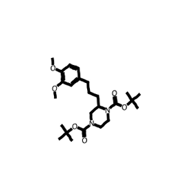 COc1ccc(CCCC2CN(C(=O)OC(C)(C)C)CCN2C(=O)OC(C)(C)C)cc1OC